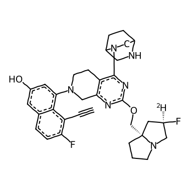 [2H][C@]1(F)CN2CCC[C@@]2(COc2nc3c(c(N4CC5CCC4CN5)n2)CCN(c2cc(O)cc4ccc(F)c(C#C)c24)C3)C1